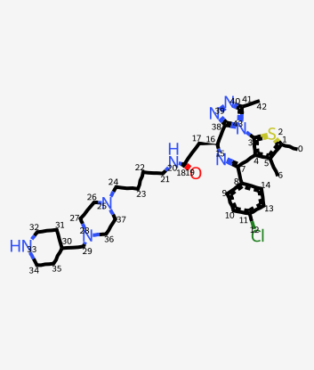 Cc1sc2c(c1C)C(c1ccc(Cl)cc1)=N[C@@H](CC(=O)NCCCCN1CCN(CC3CCNCC3)CC1)c1nnc(C)n1-2